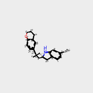 CC(C)(C)c1ccc2c(c1)NC(CC(C)(C)c1ccc3c(c1)CCCO3)C2